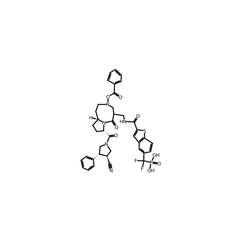 N#C[C@@H]1CN(C(=O)[C@@H]2CC[C@@H]3CCN(OC(=O)c4ccccc4)CC(CNC(=O)c4cc5cc(C(F)(F)P(=O)(O)O)ccc5s4)C(=O)N32)C[C@H]1c1ccccc1